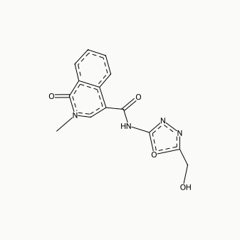 Cn1cc(C(=O)Nc2nnc(CO)o2)c2ccccc2c1=O